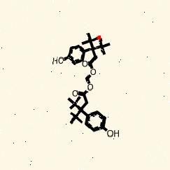 CC(C)(C)C(CC(=O)OCOC(=O)CC(c1ccc(O)cc1)(C(C)(C)C)C(C)(C)C)(c1ccc(O)cc1)C(C)(C)C